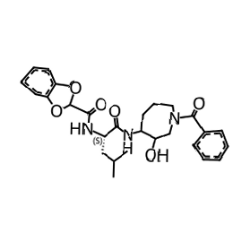 CC(C)C[C@H](NC(=O)C1Oc2ccccc2O1)C(=O)NC1CCCN(C(=O)c2ccccc2)CC1O